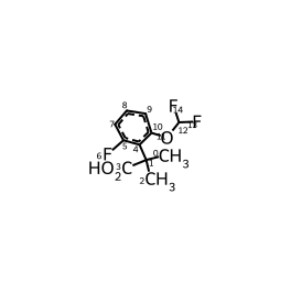 CC(C)(C(=O)O)c1c(F)cccc1OC(F)F